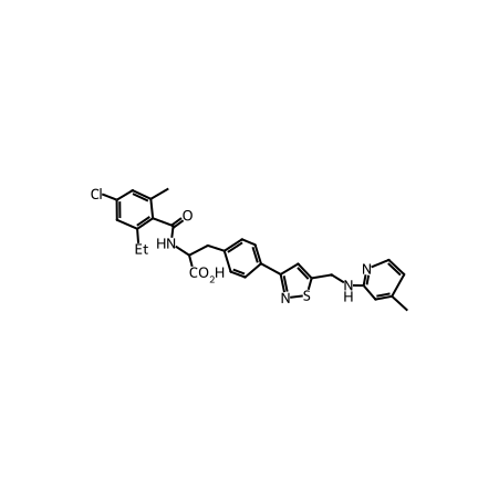 CCc1cc(Cl)cc(C)c1C(=O)NC(Cc1ccc(-c2cc(CNc3cc(C)ccn3)sn2)cc1)C(=O)O